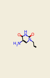 C=CCn1cc(N)c(=O)[nH]c1=O